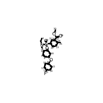 CCN(Sc1ccc(Oc2ccc(F)cc2)cc1)S(=O)(=O)c1ccc(C)c(C(=O)OC)c1